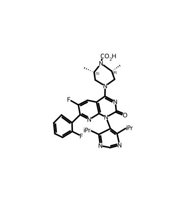 CC(C)c1ncnc(C(C)C)c1-n1c(=O)nc(N2C[C@@H](C)N(C(=O)O)[C@@H](C)C2)c2cc(F)c(-c3ccccc3F)nc21